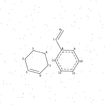 C1=CCCCC1.C=Cc1ccccc1